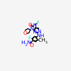 Cc1cc(C(N)=O)c(F)cc1Nc1ncc2c(n1)n(C1CCOCC1)c(=O)n2CF